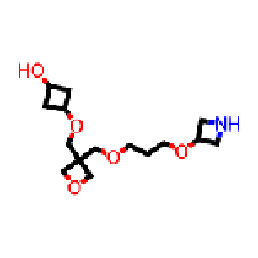 OC1CC(OCC2(COCCCOC3CNC3)COC2)C1